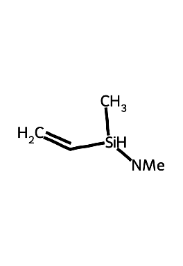 C=C[SiH](C)NC